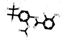 CC(F)(c1ccc(NC(=O)c2cccc(N)c2F)c(OC(F)F)c1)C(F)(F)F